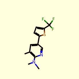 Cc1cc(-c2ccc(C(F)(F)F)s2)cnc1N(C)C